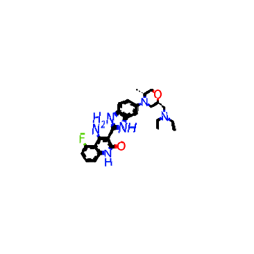 CCN(CC)C[C@H]1CN(c2ccc3nc(-c4c(N)c5c(F)cccc5[nH]c4=O)[nH]c3c2)[C@H](C)CO1